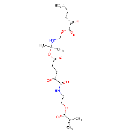 C=C(C)C(=O)OCCNC(=O)C(=O)CCC(=O)OC(C)(C)NCOC(=O)C(=O)CCC(=O)O